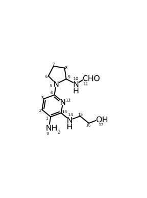 Nc1ccc(N2CCCC2NC=O)nc1NCCO